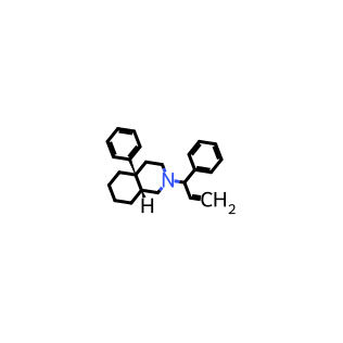 C=CC(c1ccccc1)N1CC[C@@]2(c3ccccc3)CCCC[C@H]2C1